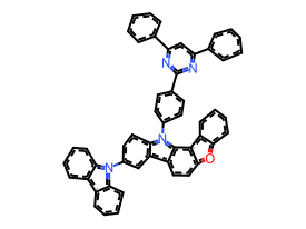 c1ccc(-c2cc(-c3ccccc3)nc(-c3ccc(-n4c5ccc(-n6c7ccccc7c7ccccc76)cc5c5ccc6oc7ccccc7c6c54)cc3)n2)cc1